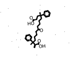 C=C(C(=O)O)C(C)(CCCCC(=O)CCCCC(C)(CCC(=O)O)c1ccccc1)c1ccccc1